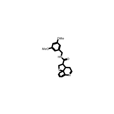 COc1cc(CNC(=O)C2CSC34CC=CC=C3N=CCC24)cc(OC)c1